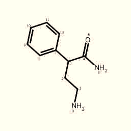 NCCC(C(N)=O)c1ccccc1